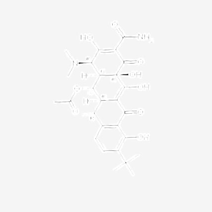 CC(=O)O[C@H]1[C@H]2C(=C(O)[C@@]3(O)C(=O)C(C(N)=O)=C(O)[C@H](N(C)C)[C@H]13)C(=O)c1c(ccc(C(C)(C)C)c1O)[C@@H]2C